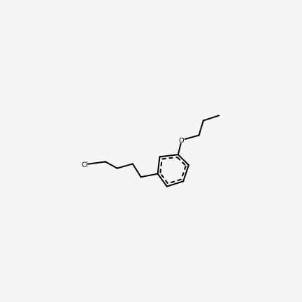 CCCOc1cccc(CCCCCl)c1